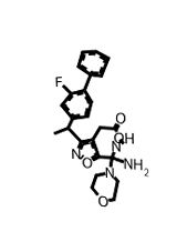 C=NC(N)(c1onc(C(C)c2ccc(-c3ccccc3)c(F)c2)c1CC(=O)O)N1CCOCC1